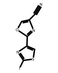 N#Cc1coc(-c2csc(I)n2)n1